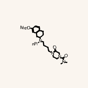 CCCN(CCCCN1CCN(C(=O)N(C)C)CC1=O)C1CCc2ccc(OC)cc2C1